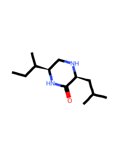 CCC(C)[C@H]1CN[C@@H](CC(C)C)C(=O)N1